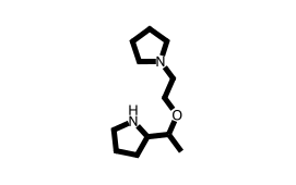 CC(OCCN1CCCC1)C1CCCN1